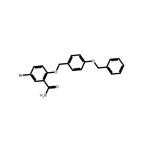 NC(=O)c1cc(Br)ccc1OCc1ccc(OCc2ccccc2)cc1